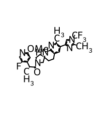 COc1cc([C@@H](C)C(=O)N2CC[C@@]3(CCc4cc(-c5cn(C(F)(F)F)c(C)n5)c(C)nc4N3)C2)c(F)cn1